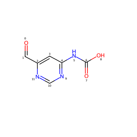 O=Cc1cc(NC(=O)O)ncn1